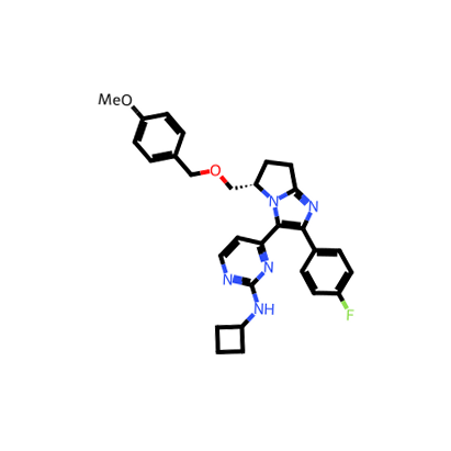 COc1ccc(COC[C@@H]2CCc3nc(-c4ccc(F)cc4)c(-c4ccnc(NC5CCC5)n4)n32)cc1